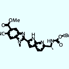 COC(=O)c1cc2nc(-c3cc4ccc([C@@H](C)NC(=O)OC(C)(C)C)nc4[nH]3)n(C)c2cc1C#N